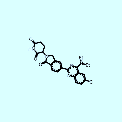 CCN(CC)c1nc(-c2ccc3c(c2)CN(C2CCC(=O)NC2=O)C3=O)nc2ccc(Cl)cc12